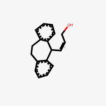 OC/C=C\C1c2ccccc2CCc2ccccc21